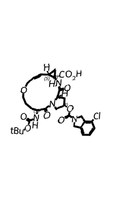 CC(C)(C)OC(=O)N[C@H]1CCCOCC=C[C@@H]2C[C@@]2(C(=O)O)NC(=O)[C@@H]2C[C@@H](OC(=O)N3Cc4cccc(Cl)c4C3)CN2C1=O